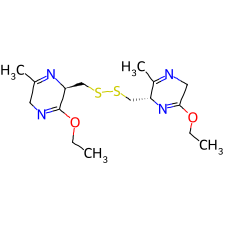 CCOC1=N[C@H](CSSC[C@@H]2N=C(C)CN=C2OCC)C(C)=NC1